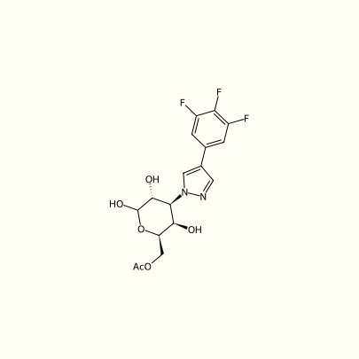 CC(=O)OC[C@H]1OC(O)[C@H](O)[C@@H](n2cc(-c3cc(F)c(F)c(F)c3)cn2)[C@H]1O